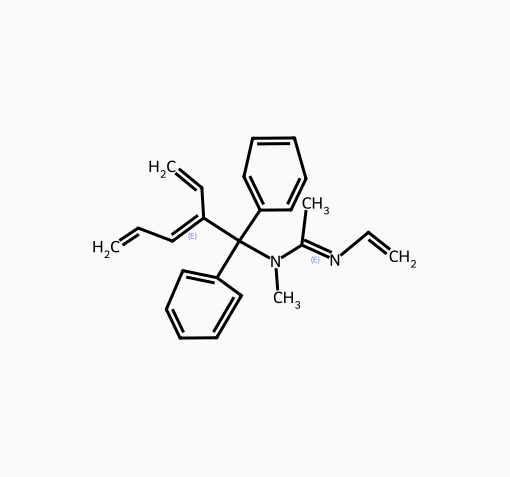 C=C/C=C(\C=C)C(c1ccccc1)(c1ccccc1)N(C)/C(C)=N/C=C